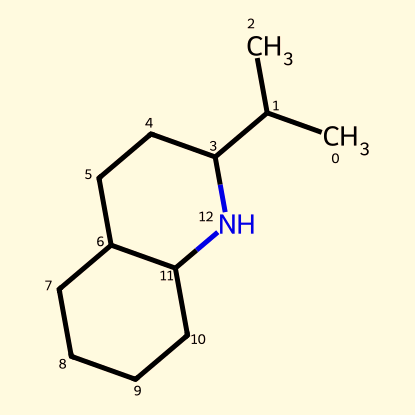 CC(C)C1CCC2CCCCC2N1